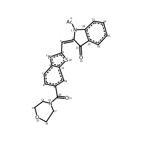 CC(=O)N1/C(=C/c2nc3ccc(C(=O)N4CCOCC4)cc3s2)C(=O)c2ccccc21